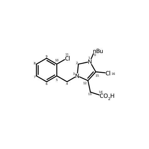 CCCCN1CN(Cc2ccccc2Cl)C(CC(=O)O)=C1Cl